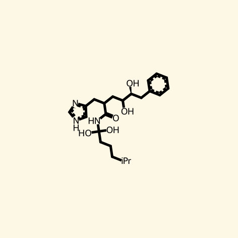 CC(C)CCCC(O)(O)NC(=O)C(Cc1c[nH]cn1)CC(O)[C@@H](O)Cc1ccccc1